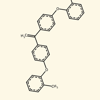 C=C(c1ccc(Oc2ccccc2C)cc1)c1ccc(Oc2ccccc2C)cc1